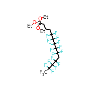 CCO[Si](CCCC(F)(F)C(F)(F)C(F)(F)C(F)(F)C(F)(F)CC(F)(F)C(F)(F)C(F)(F)C(F)(F)F)(OCC)OCC